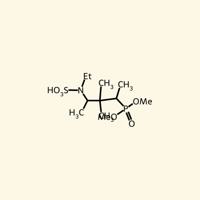 CCN(C(C)C(C)(C)C(C)P(=O)(OC)OC)S(=O)(=O)O